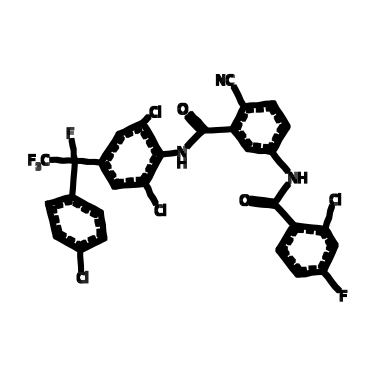 N#Cc1ccc(NC(=O)c2ccc(F)cc2Cl)cc1C(=O)Nc1c(Cl)cc(C(F)(c2ccc(Cl)cc2)C(F)(F)F)cc1Cl